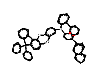 c1ccc(-c2ccccc2N(c2ccc(-c3ccc4ccccc4c3)cc2)c2ccc3c(c2)Oc2ccc4c(c2O3)-c2ccccc2C4(c2ccccc2)c2ccccc2)cc1